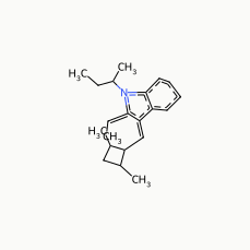 C/C=c1\c(=C/C2C(C)CC2C)c2ccccc2n1C(C)CC